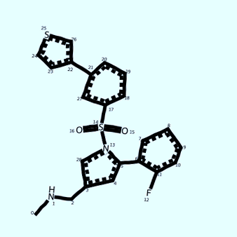 CNCc1cc(-c2ccccc2F)n(S(=O)(=O)c2cccc(-c3ccsc3)c2)c1